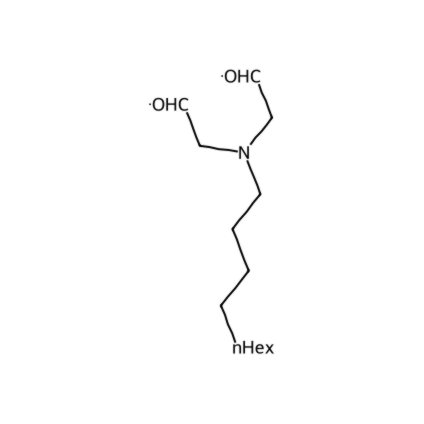 CCCCCCCCCCN(C[C]=O)C[C]=O